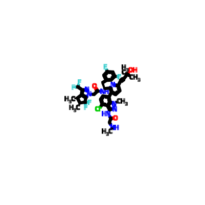 CNCC(=O)Nc1nn(C)c2c(-c3ccc(C#CC(C)(C)O)nc3[C@H](Cc3cc(F)cc(F)c3)NC(=O)Cn3nc(C(F)F)c4c3C(F)(F)[C@H](C)[C@@H]4C)ccc(Cl)c12